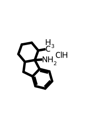 CC1CCCC2Cc3ccccc3C12N.Cl